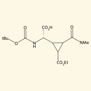 CCOC(=O)C1C(C(=O)NC)C1[C@H](NC(=O)OC(C)(C)C)C(=O)O